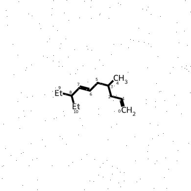 C=CCC(C)CC=CC(CC)CC